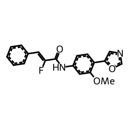 COc1cc(NC(=O)/C(F)=C/c2ccccc2)ccc1-c1cnco1